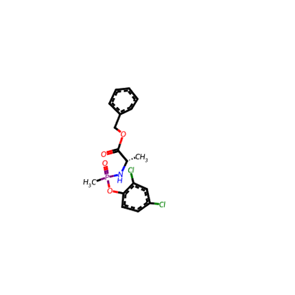 C[C@H](NP(C)(=O)Oc1ccc(Cl)cc1Cl)C(=O)OCc1ccccc1